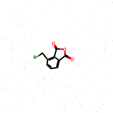 O=C1OC(=O)c2c(CBr)cccc21